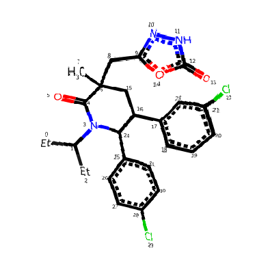 CCC(CC)N1C(=O)C(C)(Cc2n[nH]c(=O)o2)CC(c2cccc(Cl)c2)C1c1ccc(Cl)cc1